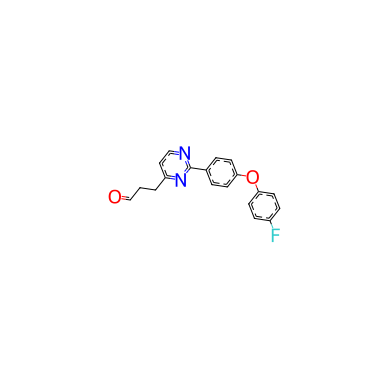 O=CCCc1ccnc(-c2ccc(Oc3ccc(F)cc3)cc2)n1